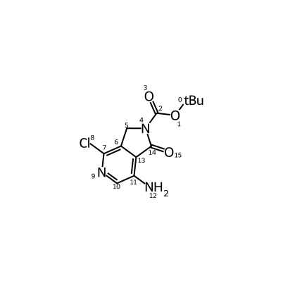 CC(C)(C)OC(=O)N1Cc2c(Cl)ncc(N)c2C1=O